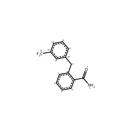 NC(=O)c1ccccc1Cc1cccc(C(F)(F)F)c1